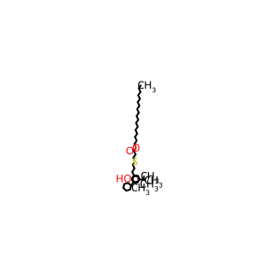 CCCCCCCCCCCCCCCCCCOC(=O)CCSCCCc1cc(C(C)(C)C)cc(C2(C)CCCCC2)c1O